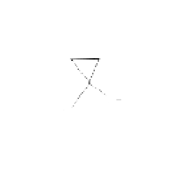 CC1([SiH3])CC1